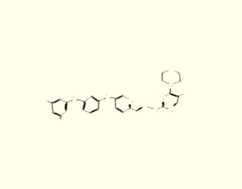 Oc1cc(O)cc(Nc2cccc(Nc3ccc(/C=N/Nc4ncc(F)c(N5CCOCC5)n4)nc3)c2)c1